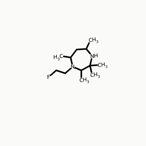 CC1CC(C)N(CCF)C(C)C(C)(C)N1